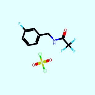 O=C(NCc1cccc(F)c1)C(F)(F)F.O=S(=O)(Cl)Cl